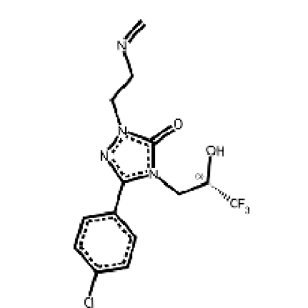 C=NCCn1nc(-c2ccc(Cl)cc2)n(C[C@H](O)C(F)(F)F)c1=O